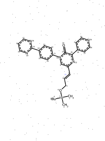 CC(C)(C)[Si](C)(C)OC/C=C/c1cn(-c2ccc(-c3ncccn3)cc2)c(=O)c(-c2ccncc2)n1